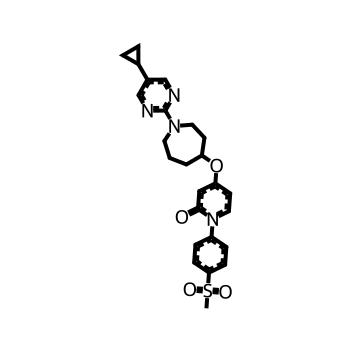 CS(=O)(=O)c1ccc(-n2ccc(OC3CCCN(c4ncc(C5CC5)cn4)CC3)cc2=O)cc1